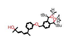 C/C(=C/C=C/C(C)(C)O)c1cccc(OCc2ccc(C(O[SiH](C)C)C(C)(C)C)c(C(O[SiH](C)C)C(C)(C)C)c2)c1